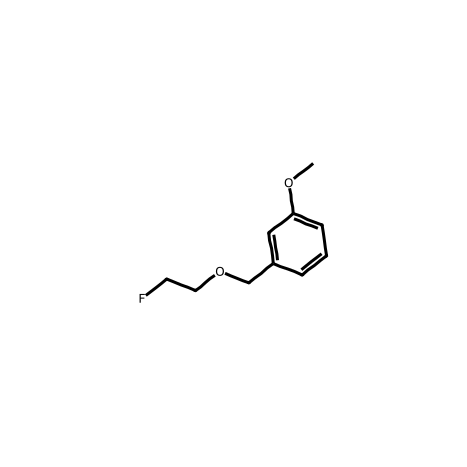 COc1cccc(COCCF)c1